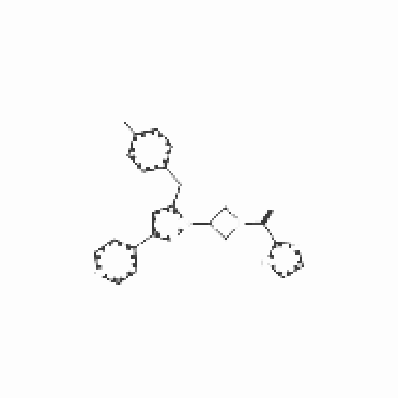 O=C(c1ncc[nH]1)N1CC(n2nc(-c3ccncc3)cc2Cc2ccc(F)cc2)C1